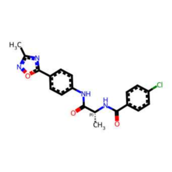 Cc1noc(-c2ccc(NC(=O)[C@@H](C)NC(=O)c3ccc(Cl)cc3)cc2)n1